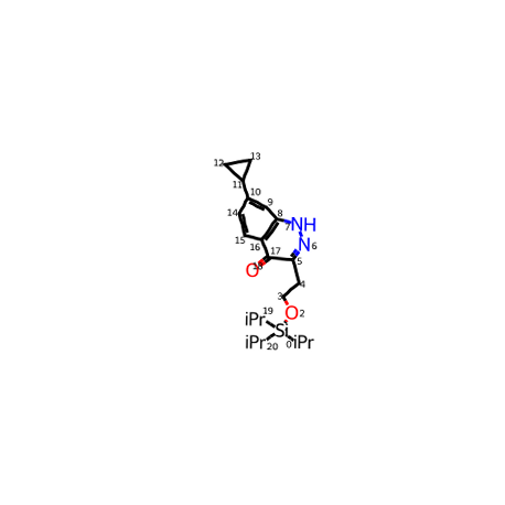 CC(C)[Si](OCCc1n[nH]c2cc(C3CC3)ccc2c1=O)(C(C)C)C(C)C